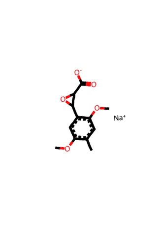 COc1cc(C2OC2C(=O)[O-])c(OC)cc1C.[Na+]